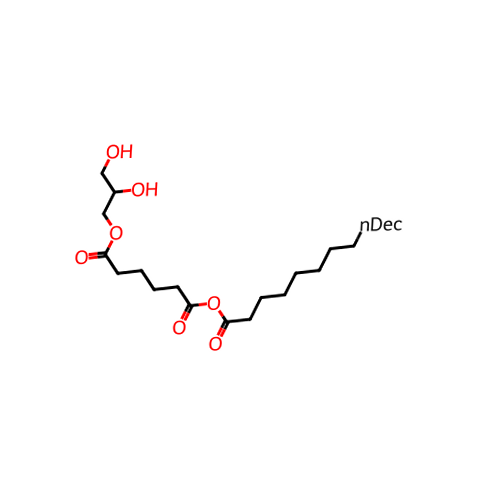 CCCCCCCCCCCCCCCCCC(=O)OC(=O)CCCCC(=O)OCC(O)CO